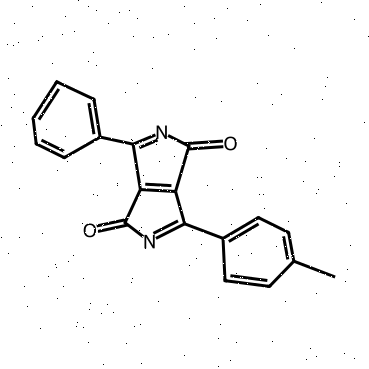 Cc1ccc(-c2nc(=O)c3c(-c4ccccc4)nc(=O)c2=3)cc1